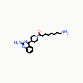 NCCCCCCCC(=O)N1CCC(c2nc(N)nc3ccccc23)CC1